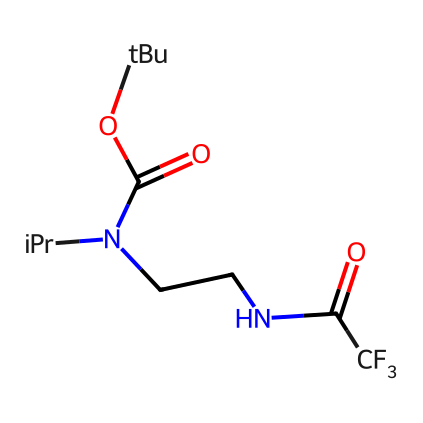 CC(C)N(CCNC(=O)C(F)(F)F)C(=O)OC(C)(C)C